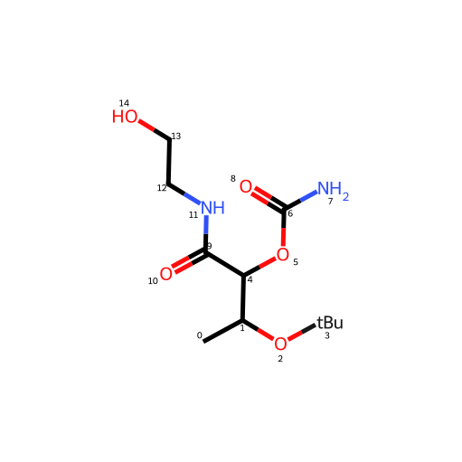 CC(OC(C)(C)C)C(OC(N)=O)C(=O)NCCO